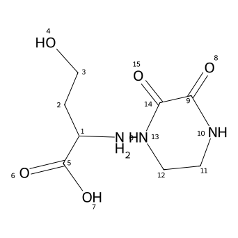 NC(CCO)C(=O)O.O=C1NCCNC1=O